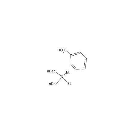 CCCCCCCCCC[N+](CC)(CC)CCCCCCCCCC.O=C(O)c1ccccc1